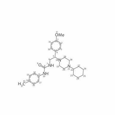 COc1ccc(C(CNC(=O)Nc2ccc(C)cc2)N2CCN(C3CCCCC3)CC2)cc1